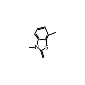 C=C1Sc2c(C)cccc2N1C